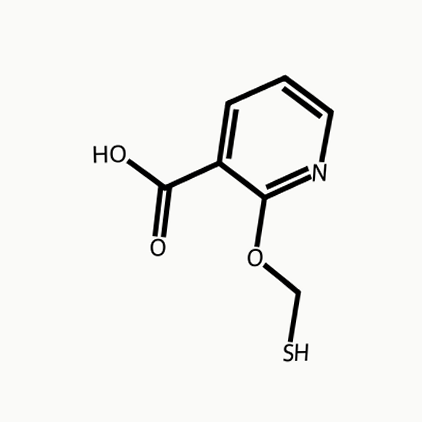 O=C(O)c1cccnc1OCS